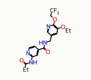 CCOc1cc(CNC(=O)c2ccnc(NC(=O)CC)c2)cnc1OCC(F)(F)F